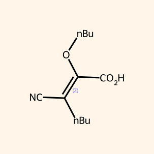 CCCCO/C(C(=O)O)=C(\C#N)CCCC